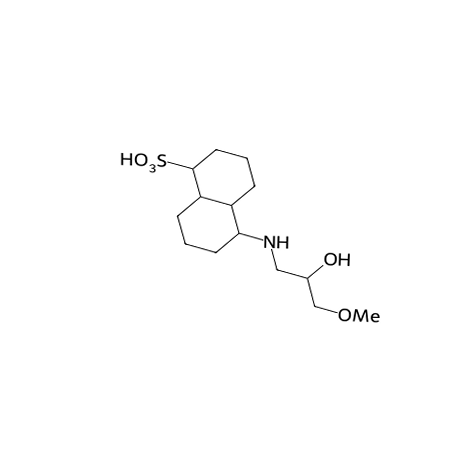 COCC(O)CNC1CCCC2C1CCCC2S(=O)(=O)O